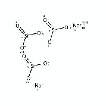 O=[Si]([O-])[O-].O=[Si]([O-])[O-].O=[Si]([O-])[O-].[Na+].[Na+].[Ti+4]